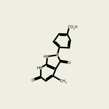 Cc1cc(=O)[nH]c2[nH]n(-c3ccc(C(=O)O)cc3)c(=O)c12